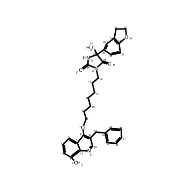 Cc1cccc2c(OCCCCCCCN3C(=O)NC(C)(c4ccc5c(c4)CCO5)C3=O)c(Cc3ccccc3)cnc12